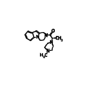 C[C@H](C(=O)N1CCn2c(cc3ccccc32)C1)N1CCN(C)CC1